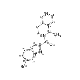 CN1c2ccncc2CCN1C(=O)c1cc2ccc(Br)cn2n1